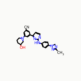 Cc1ncn(-c2ccc(Nc3nccc(-c4cc(C#N)cc(N5CCCC(O)C5)c4)n3)cc2)n1